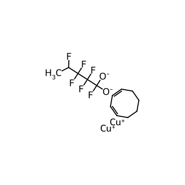 C1=CCCCCC=C1.CC(F)C(F)(F)C(F)(F)C([O-])([O-])F.[Cu+].[Cu+]